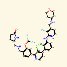 O=C1CC[C@@H](CNCc2ccc(-c3nccc(-c4cccc(Nc5nccc(CNC6CCOCC6)c5F)c4Cl)c3Cl)cc2OC(F)F)N1